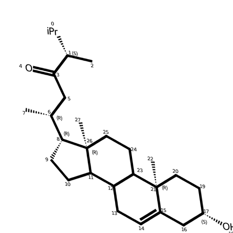 CC(C)[C@H](C)C(=O)C[C@@H](C)[C@H]1CCC2C3CC=C4C[C@@H](O)CC[C@]4(C)C3CC[C@@]21C